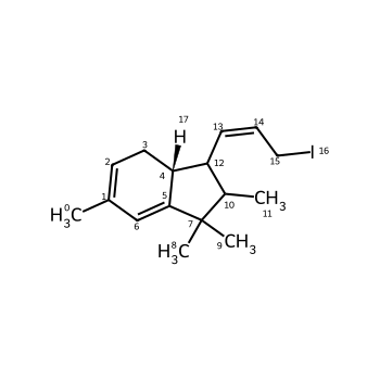 CC1=CC[C@H]2C(=C1)C(C)(C)C(C)C2/C=C\CI